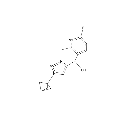 Cc1nc(F)ccc1C(O)c1cn(C23CC(C2)C3)nn1